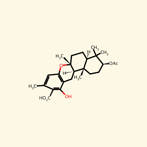 CC(=O)O[C@H]1CC[C@]2(C)[C@H]3Cc4c(cc(C)c(C(=O)O)c4O)O[C@]3(C)CC[C@H]2C1(C)C